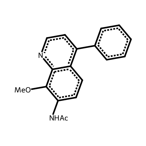 COc1c(NC(C)=O)ccc2c(-c3ccccc3)ccnc12